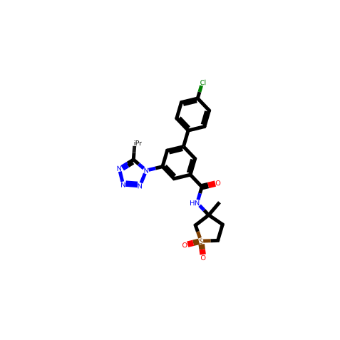 CC(C)c1nnnn1-c1cc(C(=O)NC2(C)CCS(=O)(=O)C2)cc(-c2ccc(Cl)cc2)c1